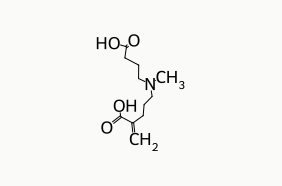 C=C(CCCN(C)CCCC(=O)O)C(=O)O